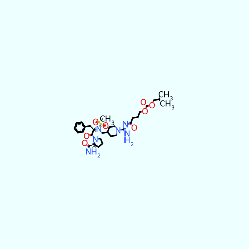 CC(C)COC(=O)OCCCC(=O)N=C(N)N1CCC(CN([C@H](Cc2ccccc2)C(=O)N2CCC[C@H]2C(N)=O)S(C)(=O)=O)CC1